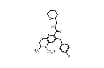 C[C@H]1COc2nc(C(=O)NCC3CCCCO3)c(Cc3ccc(F)cc3)cc2N1C(=O)O